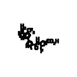 Cc1ncc(-c2cc(C(F)(F)F)c3c(N)ncnn23)cc1C(=O)NC1CN(C(=O)O)CC1CF